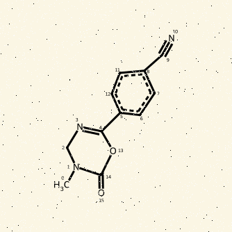 CN1CN=C(c2ccc(C#N)cc2)OC1=O